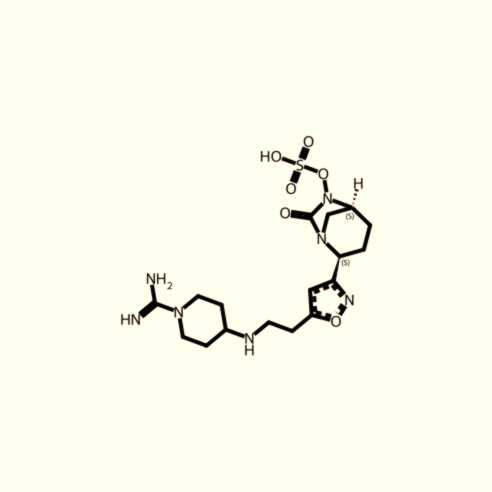 N=C(N)N1CCC(NCCc2cc([C@@H]3CC[C@H]4CN3C(=O)N4OS(=O)(=O)O)no2)CC1